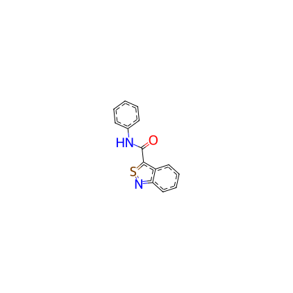 O=C(Nc1ccccc1)c1snc2ccccc12